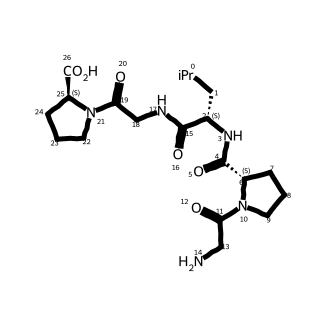 CC(C)C[C@H](NC(=O)[C@@H]1CCCN1C(=O)CN)C(=O)NCC(=O)N1CCC[C@H]1C(=O)O